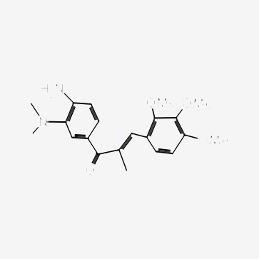 COc1ccc(/C=C(\C)C(=O)c2ccc(N)c(N(C)C)c2)c(OC)c1OC